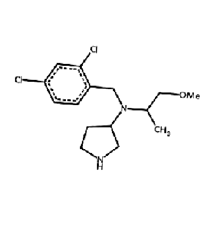 COCC(C)N(Cc1ccc(Cl)cc1Cl)C1CCNC1